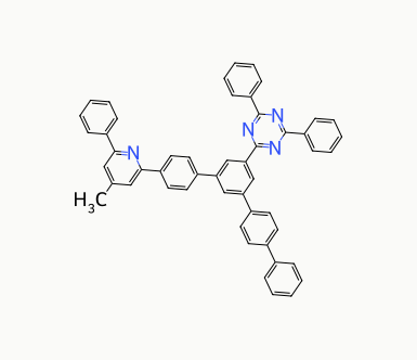 Cc1cc(-c2ccccc2)nc(-c2ccc(-c3cc(-c4ccc(-c5ccccc5)cc4)cc(-c4nc(-c5ccccc5)nc(-c5ccccc5)n4)c3)cc2)c1